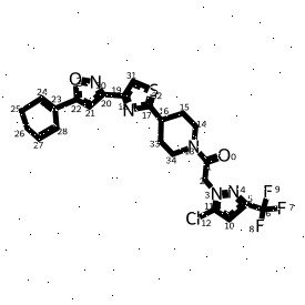 O=C(Cn1nc(C(F)(F)F)cc1Cl)N1CCC(c2nc(-c3cc(C4=CCCC=C4)on3)cs2)CC1